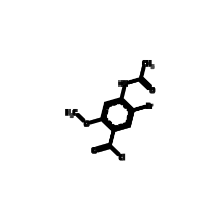 COc1cc(NC(C)=O)c(Br)cc1C(=O)Cl